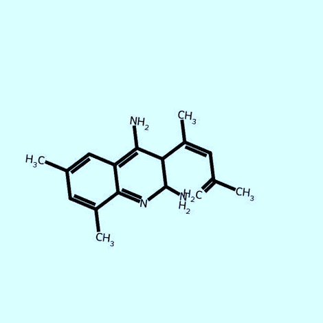 C=C(C)/C=C(/C)C1C(N)=c2cc(C)cc(C)c2=NC1N